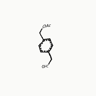 CC(=O)OCc1ccc(C[C]=O)cc1